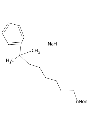 CCCCCCCCCCCCCCCC(C)(C)c1ccccc1.[NaH]